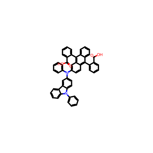 O=C(O)c1ccccc1-c1c2ccccc2c(-c2ccccc2C(=O)O)c2cc(N(c3ccccc3)c3ccc4c(c3)c3ccccc3n4-c3ccccc3)ccc12